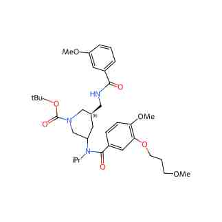 COCCCOc1cc(C(=O)N(C(C)C)C2C[C@H](CNC(=O)c3cccc(OC)c3)CN(C(=O)OC(C)(C)C)C2)ccc1OC